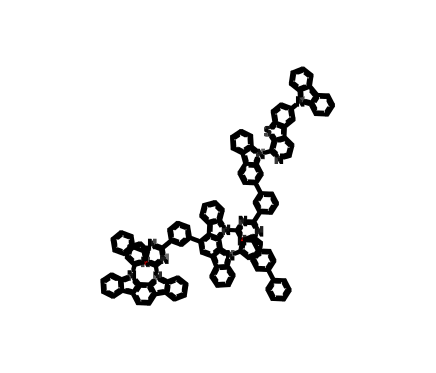 c1ccc(-c2ccc(-c3nc(-c4cccc(-c5ccc6c7ccccc7n(-c7nccc8c7sc7ccc(-n9c%10ccccc%10c%10ccccc%109)cc78)c6c5)c4)nc(-n4c5ccccc5c5c(-c6cccc(-c7nc(-c8ccccc8)nc(-n8c9ccccc9c9ccc%10c%11ccccc%11n(-c%11ccccc%11)c%10c98)n7)c6)cc6c7ccccc7n(-c7ccccc7)c6c54)n3)cc2)cc1